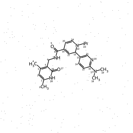 Cc1cc(C)c(CNC(=O)C2=CC(c3ccc(N(C)C)nc3)N(C(C)C)C=C2)c(=O)[nH]1